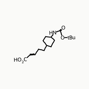 CC(C)(C)OC(=O)NC1CCC(CCC=CC(=O)O)CC1